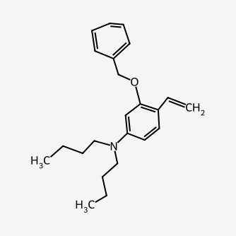 C=Cc1ccc(N(CCCC)CCCC)cc1OCc1ccccc1